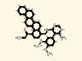 C=CC(=O)c1ccc(CNc2ncnc(N)c2-c2ccc(OC)c(OC)c2)c2ccc3c4ccc5ccccc5c4ccc3c12